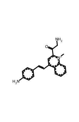 C[n+]1c(C(=O)CN)cc(C=Cc2ccc(N)cc2)c2ccccc21